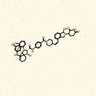 CCN1[C@@H](C(=O)Nc2ccc(C(=O)N3CCC(/C=C\c4cccc5c4CN(C4CCC(=O)NC4=O)C5O)CC3)cc2)[C@H](c2cccc(Cl)c2F)[C@]2(C(=O)Nc3cc(Cl)ccc32)C12CCCCC2